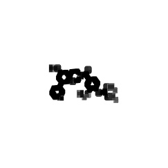 Cc1cc(C(=O)N2CCC3(CC(O)CC(c4cccnc4)C3)OC2)ccc1OC(C)C